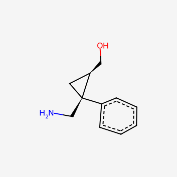 NC[C@@]1(c2ccccc2)C[C@H]1CO